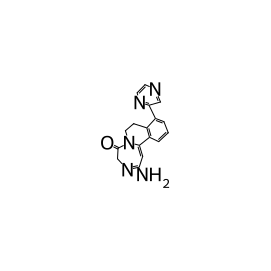 NC1=NCC(=O)N2CCc3c(cccc3-c3cnccn3)C2=C1